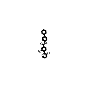 COc1cc(C(=O)Nc2ccc(C3CCCCC3)cc2)ccc1-c1ncccc1Cl